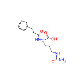 NC(=O)NCCC[C@H](NC(=O)CCc1ccccc1)C(=O)O